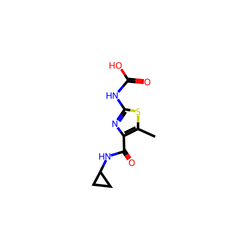 Cc1sc(NC(=O)O)nc1C(=O)NC1CC1